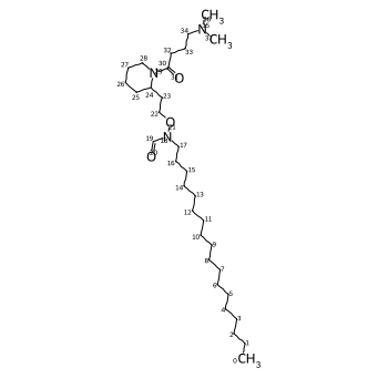 CCCCCCCCCCCCCCCCCCN(C=O)OCCC1CCCCN1C(=O)CCCN(C)C